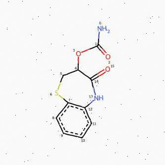 NC(=O)OC1CSc2ccccc2NC1=O